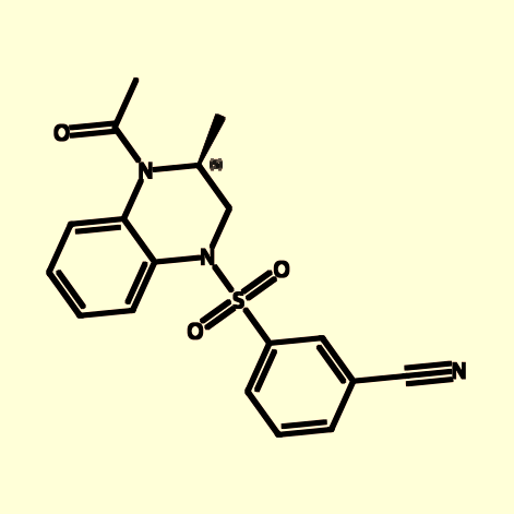 CC(=O)N1c2ccccc2N(S(=O)(=O)c2cccc(C#N)c2)C[C@@H]1C